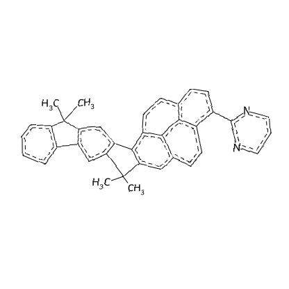 CC1(C)c2ccccc2-c2cc3c(cc21)-c1c(cc2ccc4c(-c5ncccn5)ccc5ccc1c2c54)C3(C)C